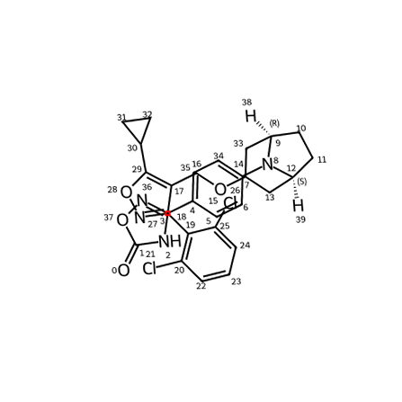 O=c1[nH]c(-c2ccc(N3[C@@H]4CC[C@H]3CC(OCc3c(-c5c(Cl)cccc5Cl)noc3C3CC3)C4)cc2)no1